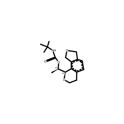 C[C@@H](OC(=O)NC(C)(C)C)[C@@H]1OCCc2ccc3c(c21)COC3